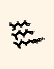 CC(C)CCC[O-].CC(C)CCC[O-].CC(C)CCC[O-].[Cl][Ti+3]